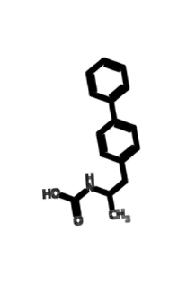 CC(Cc1ccc(-c2ccccc2)cc1)NC(=O)O